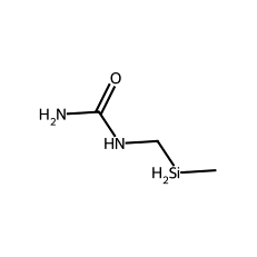 C[SiH2]CNC(N)=O